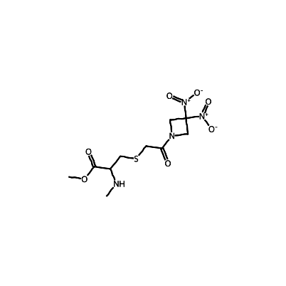 CNC(CSCC(=O)N1CC([N+](=O)[O-])([N+](=O)[O-])C1)C(=O)OC